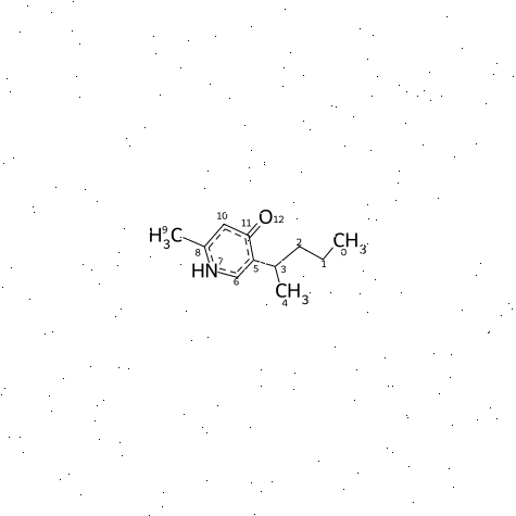 CCCC(C)c1c[nH]c(C)cc1=O